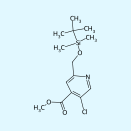 COC(=O)c1cc(CO[Si](C)(C)C(C)(C)C)ncc1Cl